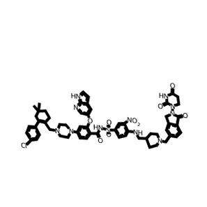 CC1(C)CCC(CN2CCN(c3ccc(C(=O)NS(=O)(=O)c4ccc(NCC5CCN(Cc6ccc7c(c6)CN(N6CCC(=O)NC6=O)C7=O)CC5)c([N+](=O)[O-])c4)c(Oc4cnc5[nH]ccc5c4)c3)CC2)=C(c2ccc(Cl)cc2)C1